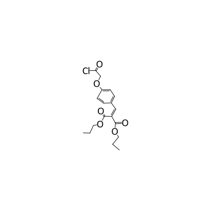 CCCOC(=O)C(=Cc1ccc(OCC(=O)Cl)cc1)C(=O)OCCC